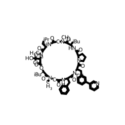 CCC(C)C1NC(=O)C2CCCN2C(=O)C(Cc2cccc(-c3cccnc3)c2)N(C)C(=O)C(Cc2ccccc2)NC(=O)CN(C)C(=O)C([C@H](C)CC)OC(=O)C(C(C)(C)O)N(C)C(=O)C(CC(C)C)NC(=O)CN(C)C1=O